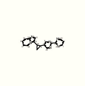 c1cnc(-c2ncc(C3CC3c3cnc4ccccn34)cn2)nc1